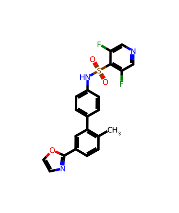 Cc1ccc(-c2ncco2)cc1-c1ccc(NS(=O)(=O)c2c(F)cncc2F)cc1